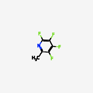 Cc1nc(F)c(F)c(F)c1F